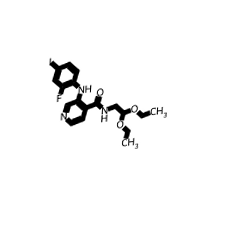 CCOC(CNC(=O)c1ccncc1Nc1ccc(I)cc1F)OCC